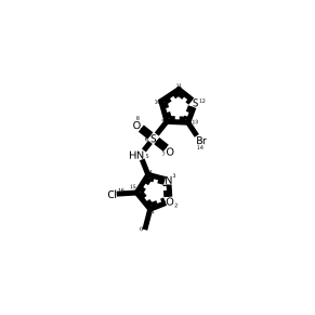 Cc1onc(NS(=O)(=O)c2ccsc2Br)c1Cl